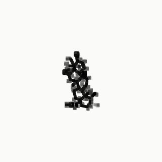 C[C@H]1[C@H](C)CC[C@]2(C(=O)O)CC[C@]3(C)C(=CC[C@@H]4[C@@]5(C)C=CC(=O)C(C)(C)[C@@H]5C(=O)C[C@]43C)[C@H]12